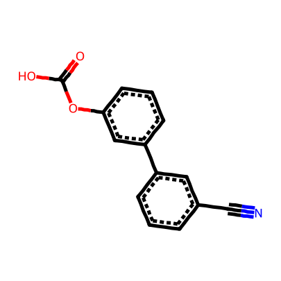 N#Cc1cccc(-c2cccc(OC(=O)O)c2)c1